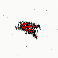 CN[C@H](CC(C)C)C(=O)NC1C(=O)N[C@@H](CC(N)=O)C(=O)N[C@H]2C(=O)N[C@H]3C(=O)N[C@H](C(=O)N[C@@H](C(=O)O)c4cc(O)cc(O)c4-c4cc3ccc4O)[C@H](O[C@H]3C[C@](C)(N)[C@@H](O)[C@H](C)O3)c3ccc(c(Cl)c3)Oc3cc2cc(c3O[C@@H]2O[C@H](CO)[C@@H](O[C@@H]3O[C@H](CNCc4nc(-c5ccc(F)cc5)no4)[C@H](O)[C@H](O)[C@H]3O)[C@H](O)[C@H]2O)Oc2ccc(cc2Cl)[C@H]1O